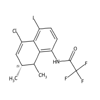 CC1c2c(NC(=O)C(F)(F)F)ccc(I)c2C(Cl)=C[C@H]1C